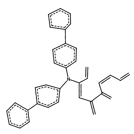 C=C/C=C\C(=C)C(=C)/C=C(\C=C)N(c1ccc(-c2ccccc2)cc1)c1ccc(-c2ccccc2)cc1